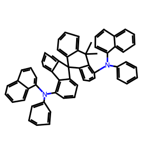 CC1(C)c2ccccc2C2(c3ccccc3-c3c(N(c4ccccc4)c4cccc5ccccc45)cccc32)c2cccc(N(c3ccccc3)c3cccc4ccccc34)c21